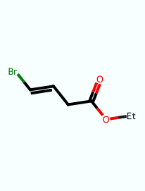 CCOC(=O)CC=CBr